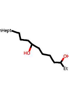 CCCCCCCCCCC(O)CCCCC(O)CC